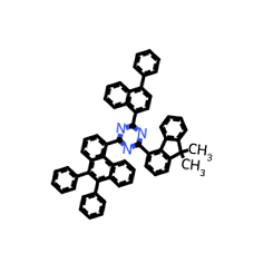 CC1(C)c2ccccc2-c2c(-c3nc(-c4ccc(-c5ccccc5)c5ccccc45)nc(-c4cccc5c(-c6ccccc6)c(-c6ccccc6)c6ccccc6c45)n3)cccc21